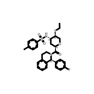 CCS[C@H]1CO[C@@H](C(=O)N2CCc3ccccc3[C@@H]2c2ccc(F)cc2)C[C@@H]1NS(=O)(=O)c1ccc(C)cc1